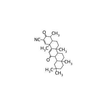 CC1C(=O)C(C#N)=CC2(C)C3=CC(=O)C4C5CC(C)(C)CCC5(C)CCC4C3(C)CCC12